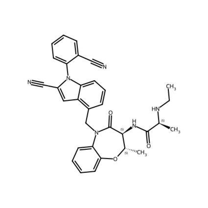 CCN[C@@H](C)C(=O)N[C@@H]1C(=O)N(Cc2cccc3c2cc(C#N)n3-c2ccccc2C#N)c2ccccc2O[C@H]1C